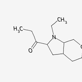 CCC(=O)C1CC2CCOCC2N1CC